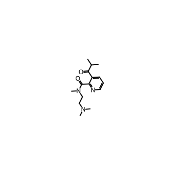 CC(C)C(=O)c1cccnc1C(=O)N(C)CCN(C)C